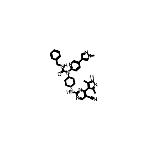 Cc1n[nH]c(C)c1-c1nc(N[C@H]2CC[C@H](N(C(=O)NCc3ccccc3)c3ccc(-c4cnn(C)c4)cn3)CC2)ncc1C#N